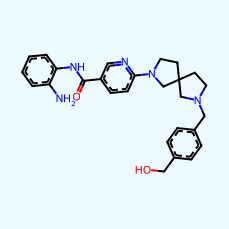 Nc1ccccc1NC(=O)c1ccc(N2CCC3(CCN(Cc4ccc(CO)cc4)C3)C2)nc1